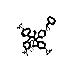 C=CC(=C(c1ccc(N(C)C)cc1)c1ccc(N(C)C)cc1)C1(c2ccc(OCc3ccccc3)cc2)OC(=O)c2cc(N(C)C)ccc21